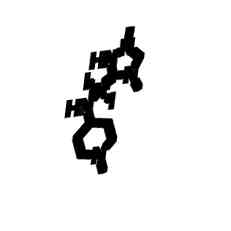 CN1CCC([NH][Pt]([I])([I])=[C]2NN(C)CN2C)CC1